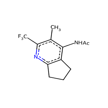 CC(=O)Nc1c(C)c(C(F)(F)F)nc2c1CCC2